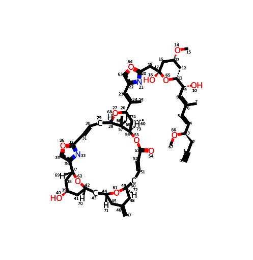 C#CC[C@H](/C=C/C(C)=C/[C@@H](O)[C@H]1C[C@@H](OC)C[C@@](O)(Cc2nc(/C=C(\C)[C@@H]3O[C@@H]4C/C=C/c5nc(co5)[C@H]5C[C@H](O)C[C@@H](C[C@H]6CC(=C)C[C@H](C/C=C/C(=O)O[C@@H]([C@H]4C)[C@H]3C)O6)O5)co2)O1)OC